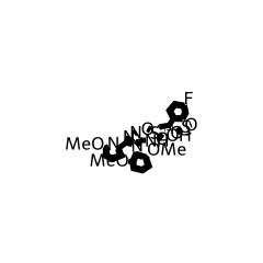 COc1cccc(-c2nnc(NS(=O)(=O)C[C@@H](O)c3ccc(F)cc3S(C)(=O)=O)n2-c2c(OC)cccc2OC)n1